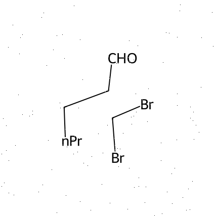 BrCBr.CCCCCC=O